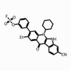 CCc1cc2c(=O)c3c4ccc(C#N)cc4[nH]c3n(C3CCCCC3)c2cc1-c1cccc(OS(=O)(=O)F)c1